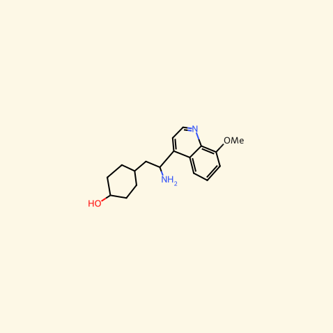 COc1cccc2c(C(N)CC3CCC(O)CC3)ccnc12